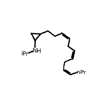 CCC/C=C\C/C=C\C/C=C\CCC1CC1NC(C)C